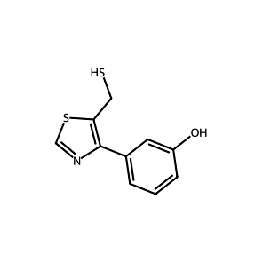 Oc1cccc(-c2ncsc2CS)c1